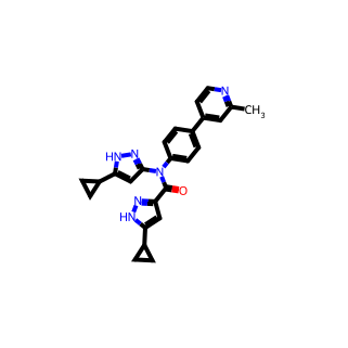 Cc1cc(-c2ccc(N(C(=O)c3cc(C4CC4)[nH]n3)c3cc(C4CC4)[nH]n3)cc2)ccn1